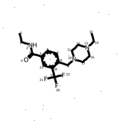 CCNC(=O)c1ccc(CN2CCN(CC)CC2)c(C(F)(F)F)c1